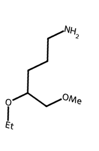 CCOC(CCCN)COC